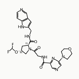 O=C(NCC(=O)N1C[C@H](OC(F)F)C[C@H]1C(=O)NCc1cc2cnccc2[nH]1)c1cncc(N2CCOCC2)n1